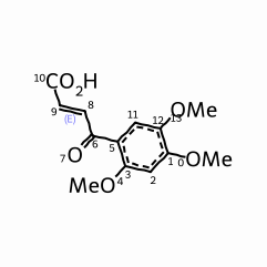 COc1cc(OC)c(C(=O)/C=C/C(=O)O)cc1OC